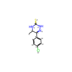 CC1NC(=S)NN=C1c1ccc(Cl)cc1